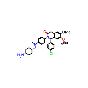 CC[C@@H](C)Oc1cc2c(cc1OC)CC(=O)N(c1ccc(N(C)C[C@H]3CC[C@@H](N)CC3)cc1)C2c1ccc(Cl)cc1